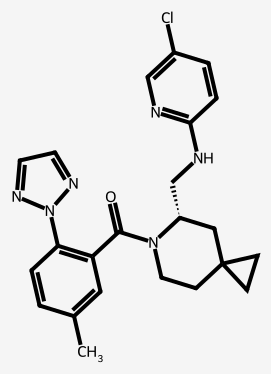 Cc1ccc(-n2nccn2)c(C(=O)N2CCC3(CC3)C[C@H]2CNc2ccc(Cl)cn2)c1